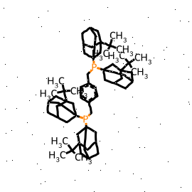 CC(C)(C)C12CC3CC(CC(P(Cc4ccc(CP(C56CC7CC(C5)CC(C(C)(C)C)(C7)C6)C56CC7CC(C5)CC(C(C)(C)C)(C7)C6)cc4)C45CC6CC(C4)CC(C(C)(C)C)(C6)C5)(C3)C1)C2